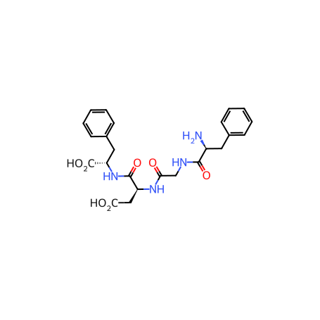 N[C@@H](Cc1ccccc1)C(=O)NCC(=O)N[C@@H](CC(=O)O)C(=O)N[C@@H](Cc1ccccc1)C(=O)O